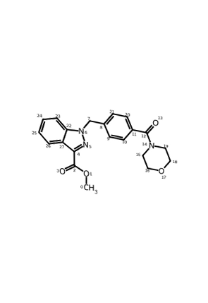 COC(=O)c1nn(Cc2ccc(C(=O)N3CCOCC3)cc2)c2ccccc12